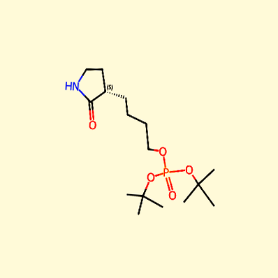 CC(C)(C)OP(=O)(OCCCC[C@H]1CCNC1=O)OC(C)(C)C